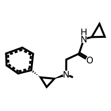 CN(CC(=O)NC1CC1)[C@H]1C[C@@H]1c1ccccc1